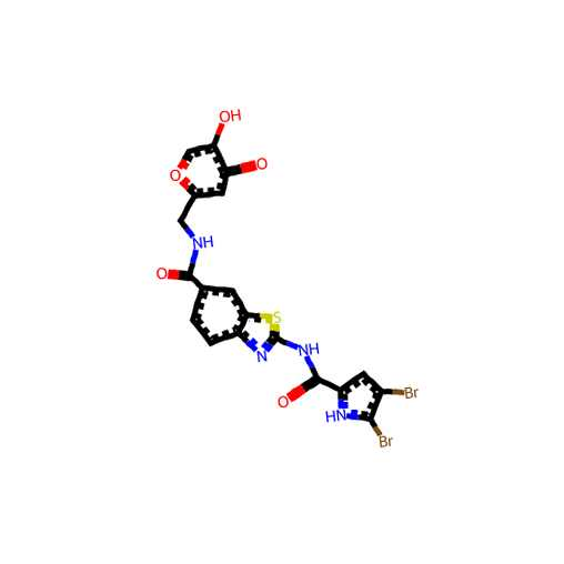 O=C(NCc1cc(=O)c(O)co1)c1ccc2nc(NC(=O)c3cc(Br)c(Br)[nH]3)sc2c1